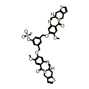 COc1cc2c(cc1OCc1cc(COc3cc4c(cc3OC)C(=O)N3Cc5ccsc5C[C@H]3C=N4)cc(OS(=O)(=O)F)c1)N=C[C@@H]1Cc3sccc3CN1C2=O